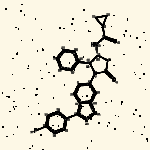 O=C(N[C@@H]1CC(=O)N(c2ccc3c(-c4ccc(F)cc4)noc3c2)[C@H]1c1ccccc1)C1CC1